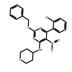 O=[N+]([O-])c1c(NC2CCOCC2)nc(SCc2ccccc2)nc1-c1ccccc1Cl